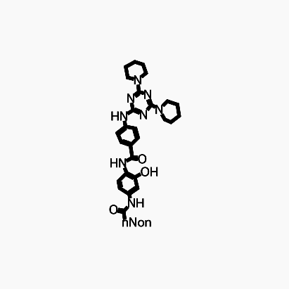 CCCCCCCCCC(=O)Nc1ccc(NC(=O)c2ccc(Nc3nc(N4CCCCC4)nc(N4CCCCC4)n3)cc2)c(O)c1